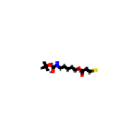 CC(C)(C)OC(=O)NCCCCCOC(=O)CCS